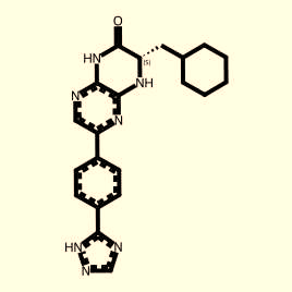 O=C1Nc2ncc(-c3ccc(-c4ncn[nH]4)cc3)nc2N[C@H]1CC1CCCCC1